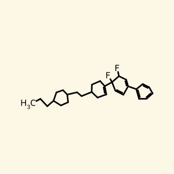 CCCC1CCC(CCC2CC=C(C3(F)C=CC(c4ccccc4)=CC3F)CC2)CC1